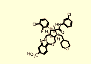 C[C@]1(C(=O)Nc2cccc(Cl)c2)[C@@H](c2cccc(Cl)c2F)[C@@H]2Cn3nc4cc(C(=O)O)ccc4c3OC[C@@H]2N1CC1CCOCC1